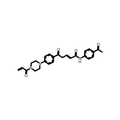 C=CC(=O)N1CCN(c2ccc(C(=O)C/C=C/C(=O)Nc3ccc(C(C)=O)cc3)cc2)CC1